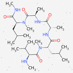 CNC(=O)[C@H](CC(C)C)N(C)C(=O)[C@@H](C)NC(=O)[C@H](C)NC(=O)[C@H](CC(C)C)N(C)C(=O)[C@@H](NC)C(C)C